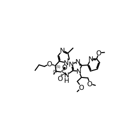 CCCO[C@@H](c1cnc(C)cn1)[C@H](C)S(=O)(=O)Nc1nnc(-c2cccc(OC)n2)n1C(COC)COC